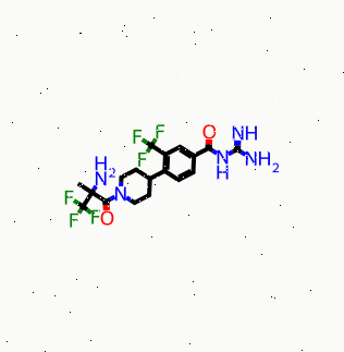 CC(N)(C(=O)N1CCC(c2ccc(C(=O)NC(=N)N)cc2C(F)(F)F)CC1)C(F)(F)F